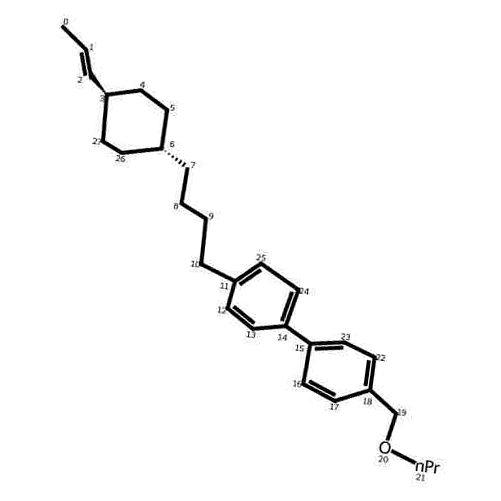 CC=C[C@H]1CC[C@H](CCCCc2ccc(-c3ccc(COCCC)cc3)cc2)CC1